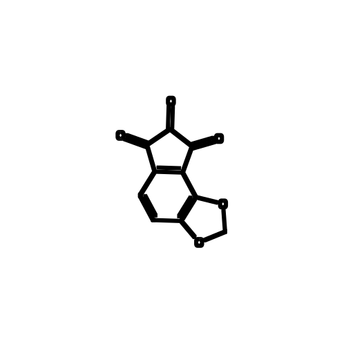 O=c1c(=O)c2ccc3c(c2c1=O)OCO3